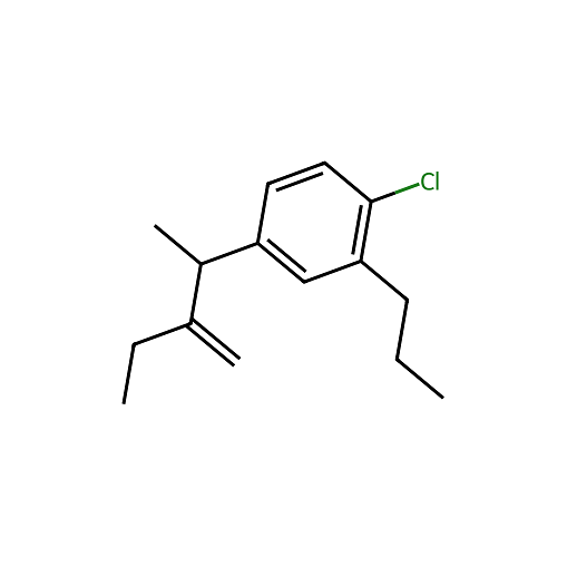 C=C(CC)C(C)c1ccc(Cl)c(CCC)c1